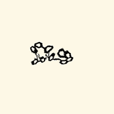 C1=Cc2ccc3ccc4cccc(C=Cc5ccc(N(c6cccc(-c7ccccc7)c6)c6ccc7c8ccccc8n(-c8ccccc8)c7c6)cc5)c4c3c2CC1